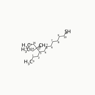 CCCC(CCCCCCCS)C(C)(CC)CC